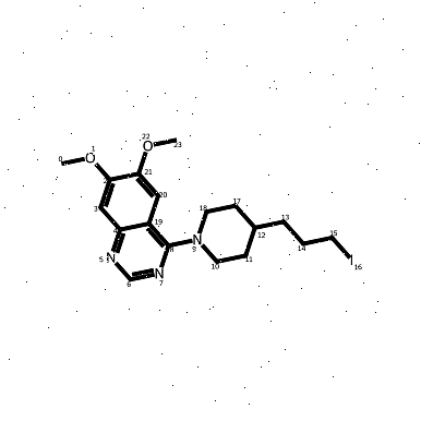 COc1cc2ncnc(N3CCC(CCCI)CC3)c2cc1OC